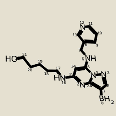 Bc1cnn2c(NCc3cccnc3)cc(NCCCCCO)nc12